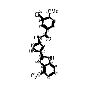 COc1ccc(C(=O)Nc2cc(-c3nc4c(C(F)(F)F)cccc4[nH]3)[nH]n2)cc1Cl